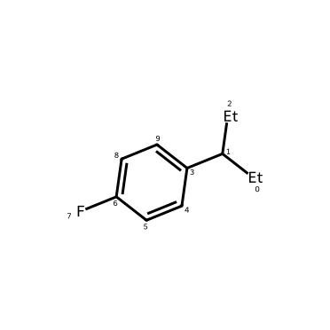 [CH2]CC(CC)c1ccc(F)cc1